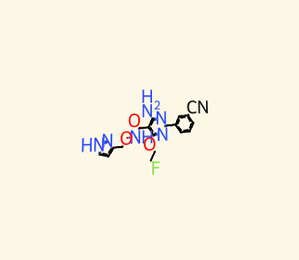 N#Cc1cccc(-c2nc(N)c(C(=O)NOCc3cc[nH]n3)c(OCCF)n2)c1